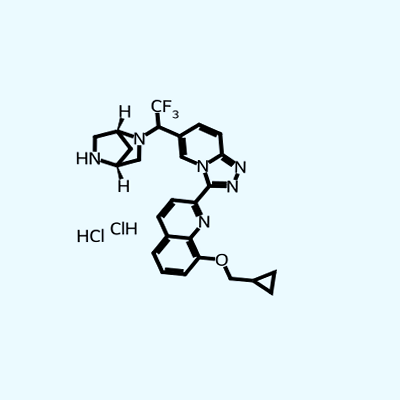 Cl.Cl.FC(F)(F)C(c1ccc2nnc(-c3ccc4cccc(OCC5CC5)c4n3)n2c1)N1C[C@H]2C[C@@H]1CN2